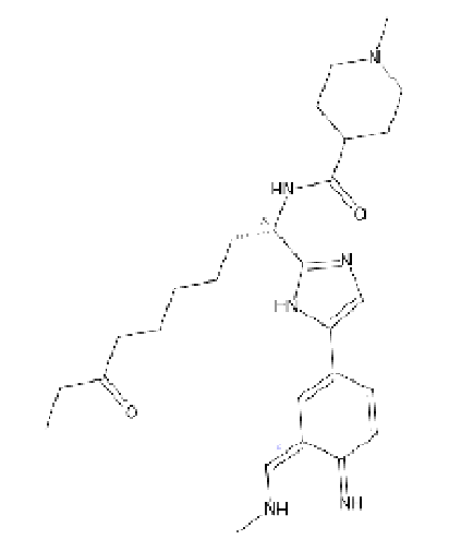 CCC(=O)CCCCC[C@H](NC(=O)C1CCN(C)CC1)c1ncc(C2=C/C(=C/NC)C(=N)C=C2)[nH]1